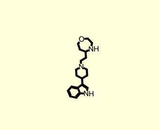 c1ccc2c(C3CCN(CCC4CCOCCN4)CC3)c[nH]c2c1